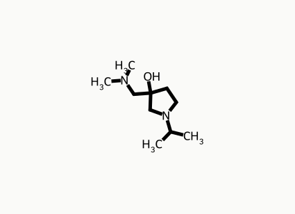 CC(C)N1CCC(O)(CN(C)C)C1